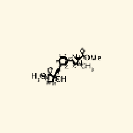 COC(=O)c1nc(-c2cccc(C#C[C@]3(O)CCN(C)C3=O)c2)cn1C